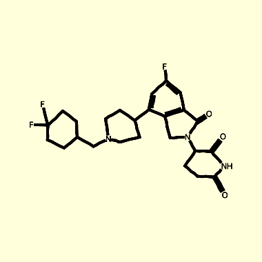 O=C1CCC(N2Cc3c(cc(F)cc3C3CCN(CC4CCC(F)(F)CC4)CC3)C2=O)C(=O)N1